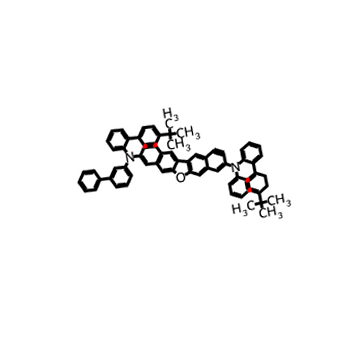 CC(C)(C)C1=CC=C(c2ccccc2N(c2c#cc3cc4c(cc3c2)oc2cc3cc(N(c5cccc(-c6ccccc6)c5)c5ccccc5C5=CC=C(C(C)(C)C)CC5)c#cc3cc24)c2ccccc2)CC1